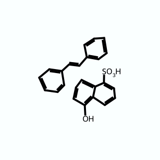 C(=Cc1ccccc1)c1ccccc1.O=S(=O)(O)c1cccc2c(O)cccc12